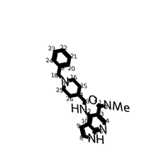 CNC(=O)c1cnc2[nH]ccc2c1NCC1CCN(Cc2ccccc2)CC1